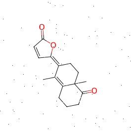 CC1=C2CCCC(=O)C2(C)CCC1=C1C=CC(=O)O1